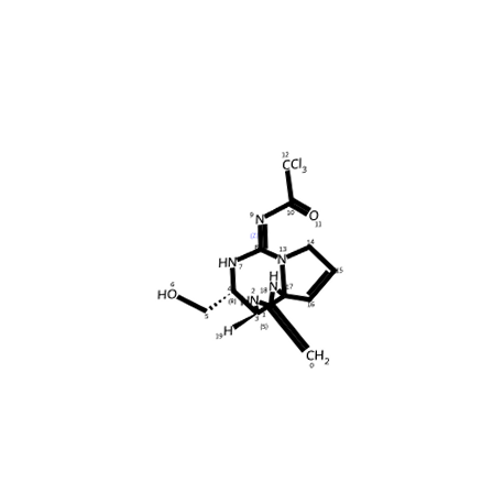 C=C1N[C@H]2[C@H](CO)N/C(=N/C(=O)C(Cl)(Cl)Cl)N3CC=CC23N1